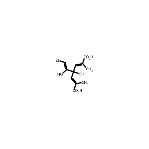 CCC=C(O)C(O)(C=C(C)C(=O)O)C=C(C)C(=O)O